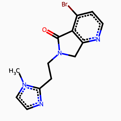 Cn1ccnc1CCN1Cc2nccc(Br)c2C1=O